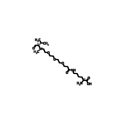 CC(C)[C@@H](C=O)[N+](C)CCOCCOCCOCCC(=O)NCCCC[C@H](N)C(=O)O